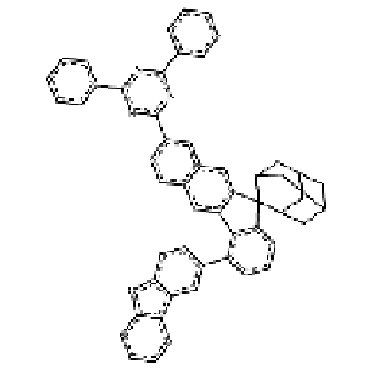 c1ccc(-c2nc(-c3ccccc3)nc(-c3ccc4cc5c(cc4c3)C3(c4cccc(-c6ccc7oc8ccccc8c7c6)c4-5)C4CC5CC(C4)CC3C5)n2)cc1